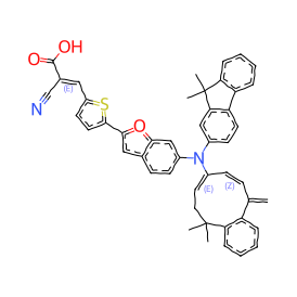 C=C1/C=C\C(N(c2ccc3c(c2)C(C)(C)c2ccccc2-3)c2ccc3cc(-c4ccc(/C=C(\C#N)C(=O)O)s4)oc3c2)=C/CC(C)(C)c2ccccc21